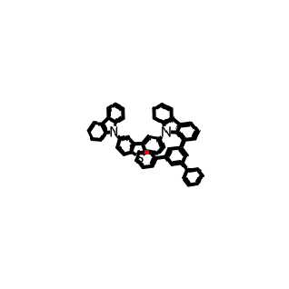 C1=Cc2c(n(-c3ccc4sc5ccc(-n6c7c(c8cccc(-c9cc(-c%10ccccc%10)cc(-c%10ccccc%10)c9)c86)C=CCC7)cc5c4c3)c3ccccc23)CC1